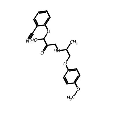 COc1ccc(OCC(C)NCC(=O)C(O)Oc2ccccc2C#N)cc1